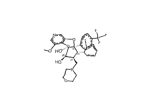 COc1cncc2c1[C@]1(O)[C@H](O)[C@H](CN3CCOCC3)[C@@H](C3C=CC=CC3C)[C@]1(c1ccc(C(F)(F)F)cc1)O2